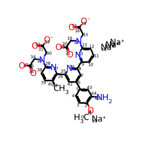 COc1ccc(-c2cc(-c3cccc(N(CC(=O)[O-])CC(=O)[O-])n3)nc(-c3nc(N(CC(=O)[O-])CC(=O)[O-])ccc3C)c2)cc1N.[Na+].[Na+].[Na+].[Na+]